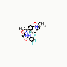 C[C@@H]1CC[C@H](C)N1C(=O)c1ccc([C@@H](C)NC(=O)C2(NC(=O)c3cc(F)c(F)c(F)c3)CC2)c(F)c1